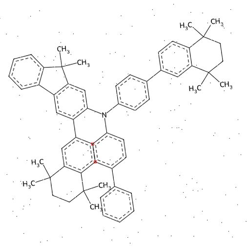 CC1(C)CCC(C)(C)c2cc(-c3ccc(N(c4ccc(-c5ccccc5)cc4)c4cc5c(cc4-c4ccc6c(c4)C(C)(C)CCC6(C)C)-c4ccccc4C5(C)C)cc3)ccc21